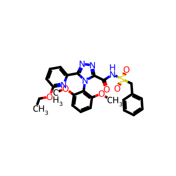 CCOc1cccc(-c2nnc(C(=O)NS(=O)(=O)Cc3ccccc3)n2-c2c(OC)cccc2OC)n1